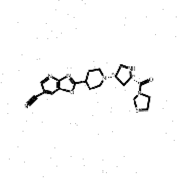 N#Cc1cnc2nc(C3CCN([C@@H]4CN[C@H](C(=O)N5CCSC5)C4)CC3)oc2c1